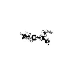 COC(=O)Oc1sc(N2CC[C@@H](NC(=O)c3[nH]c(C)c(Cl)c3Cl)[C@@H](F)C2)nc1-c1cn(C)nn1